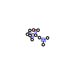 c1ccc(-c2nc(-c3ccccc3)nc(-c3ccc(-c4cc(-n5c6ccccc6c6ccccc65)c(CCn5c6ccccc6c6ccccc65)c(-n5c6ccccc6c6ccccc65)c4)cc3)n2)cc1